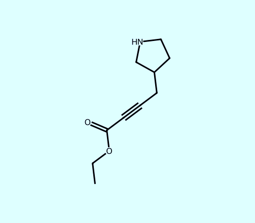 CCOC(=O)C#CCC1CCNC1